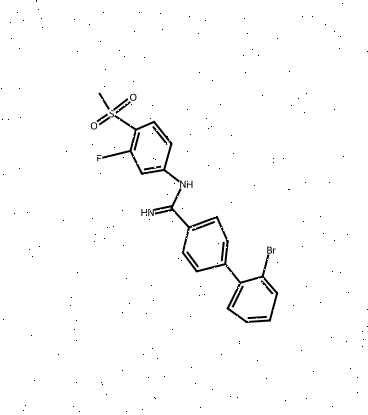 CS(=O)(=O)c1ccc(NC(=N)c2ccc(-c3ccccc3Br)cc2)cc1F